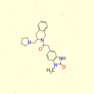 Cn1c(=O)[nH]c2cc(CC(=O)N3Cc4ccccc4CC3CN3CCCC3)ccc21